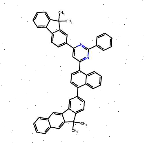 CC1(C)c2ccccc2-c2ccc(-c3cc(-c4ccc(-c5ccc6c(c5)-c5cc7ccccc7cc5C6(C)C)c5ccccc45)nc(-c4ccccc4)n3)cc21